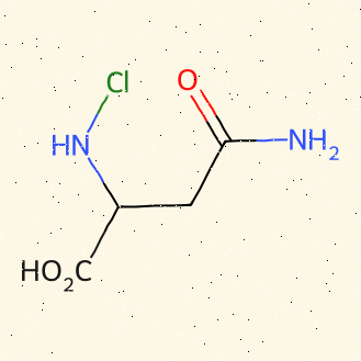 NC(=O)CC(NCl)C(=O)O